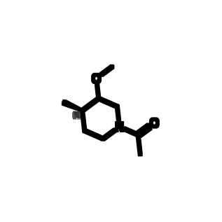 COC1CN(C(C)=O)CC[C@H]1C